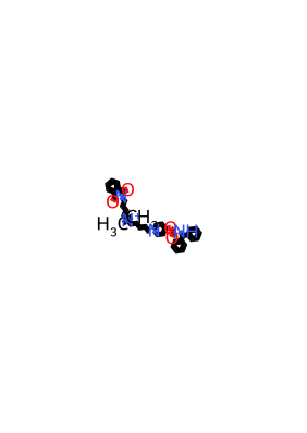 C[N+](C)(CCCCCN1CCC(OC(=O)NC(c2ccccc2)c2ccccc2)CC1)CCCCN1C(=O)c2ccccc2C1=O